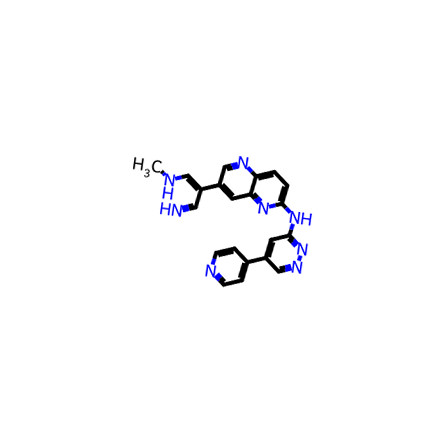 CN/C=C(\C=N)c1cnc2ccc(Nc3cc(-c4ccncc4)cnn3)nc2c1